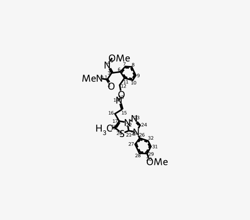 CNC(=O)/C(=N/OC)c1ccccc1CON=CCC1=C(C)SC2N1N=CN2c1ccc(OC)cc1